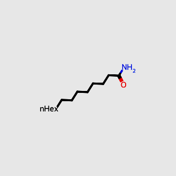 CCCCCCCCCCCCCC(N)=O